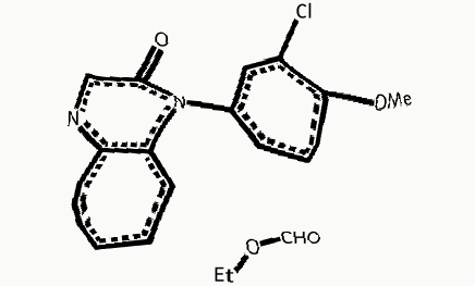 CCOC=O.COc1ccc(-n2c(=O)cnc3ccccc32)cc1Cl